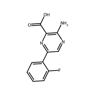 Nc1ncc(-c2ccccc2F)nc1C(=O)O